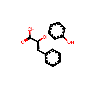 O=C(O)C(O)=Cc1ccccc1.Oc1ccccc1